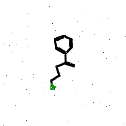 C=C(CCCBr)c1ccccc1